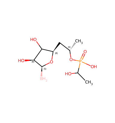 B[C@@H]1O[C@H](C[C@H](C)OP(=O)(O)C(C)O)C(O)[C@@H]1O